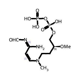 CO[C@@H](CCN(C)/C=C\C(N)=N/C=O)COP(=O)(O)OP(=O)(O)O